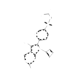 Cc1ncc2c(C#N)c(-c3ccc(S(=O)(=O)N[C@H](C)C(F)(F)F)cn3)n(C3=CC=C3)c2n1